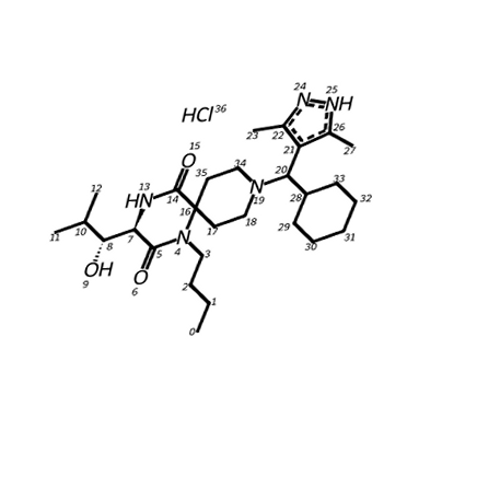 CCCCN1C(=O)[C@@H]([C@H](O)C(C)C)NC(=O)C12CCN(C(c1c(C)n[nH]c1C)C1CCCCC1)CC2.Cl